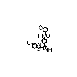 COC1CCCC(C(=O)Nc2ccc(-c3n[nH]cc3-c3nc4cc(Cl)ccc4o3)cc2)C1